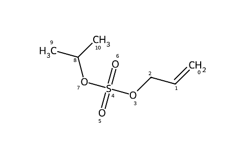 C=CCOS(=O)(=O)OC(C)C